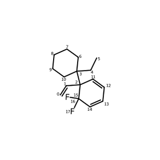 C=CC1(C2(CC)CCCCC2)C=CC=CC1(F)F